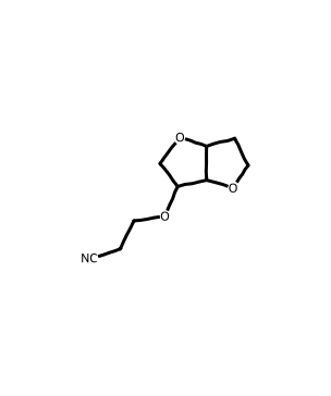 N#CCCOC1COC2CCOC21